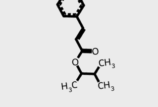 CC(C)C(C)OC(=O)/C=C/c1ccccc1